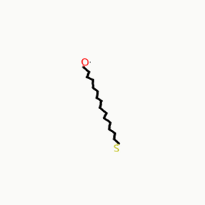 [O]CCCCCCCCCCCCCCCC=S